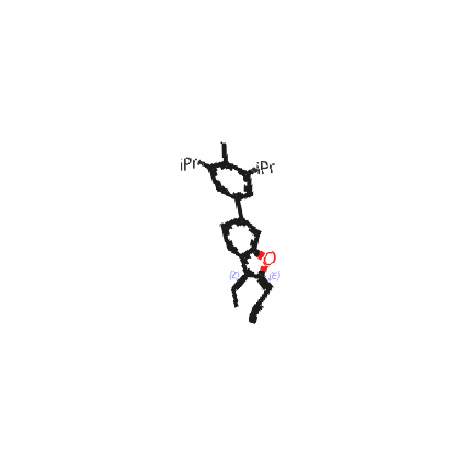 C#C/C=c1/oc2cc(-c3cc(C(C)C)c(C)c(C(C)C)c3)ccc2/c1=C/C